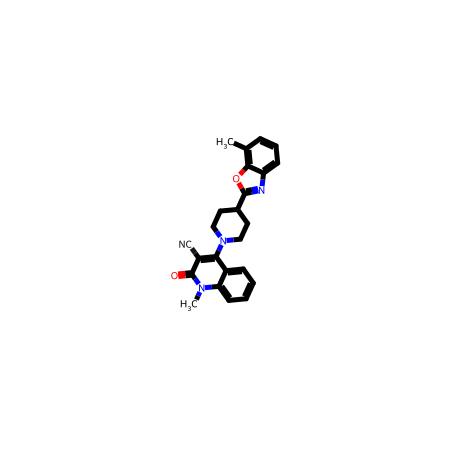 Cc1cccc2nc(C3CCN(c4c(C#N)c(=O)n(C)c5ccccc45)CC3)oc12